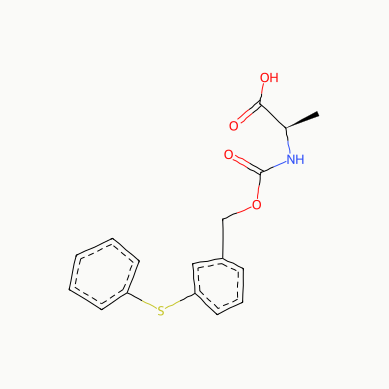 C[C@@H](NC(=O)OCc1cccc(Sc2ccccc2)c1)C(=O)O